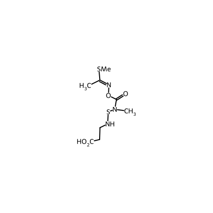 CSC(C)=NOC(=O)N(C)SNCCC(=O)O